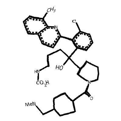 CNCC1CCC(C(=O)N2CCCC(C(O)(CCCNC(=O)O)c3cccc(Cl)c3-c3ccc4cccc(C)c4n3)C2)CC1